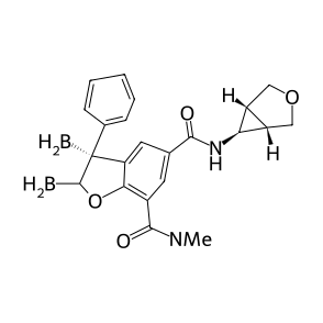 BC1Oc2c(C(=O)NC)cc(C(=O)N[C@H]3[C@@H]4COC[C@@H]43)cc2[C@]1(B)c1ccccc1